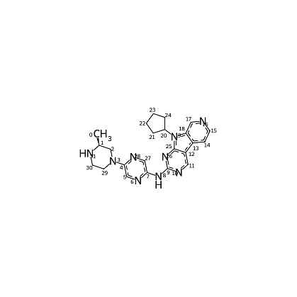 C[C@H]1CN(c2cnc(Nc3ncc4c5ccncc5n(C5CCCC5)c4n3)cn2)CCN1